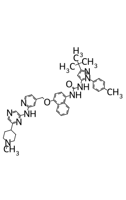 Cc1ccc(-n2nc(C(C)(C)C)cc2NC(=O)Nc2ccc(OCc3ccnc(Nc4cncc(C5CCN(C)CC5)n4)c3)c3ccccc23)cc1